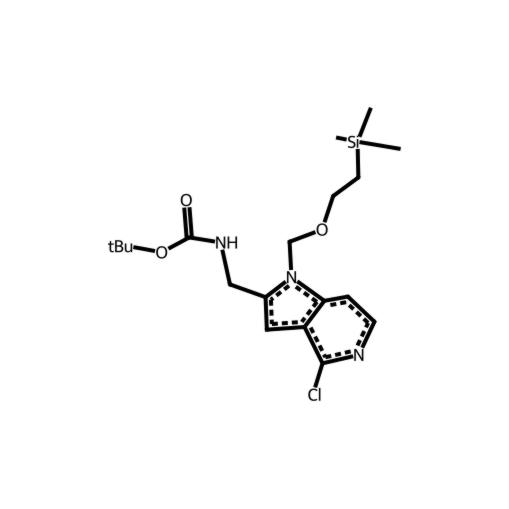 CC(C)(C)OC(=O)NCc1cc2c(Cl)nccc2n1COCC[Si](C)(C)C